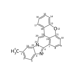 Cc1ccc2nc3c4cccc5oc6ccccc6c(cn3c2c1)c54